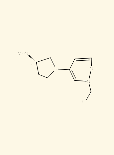 CN[C@@H]1CCN(C2=CN(CC(C)C)NC=C2)C1